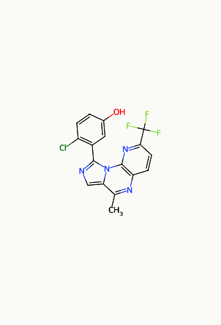 Cc1nc2ccc(C(F)(F)F)nc2n2c(-c3cc(O)ccc3Cl)ncc12